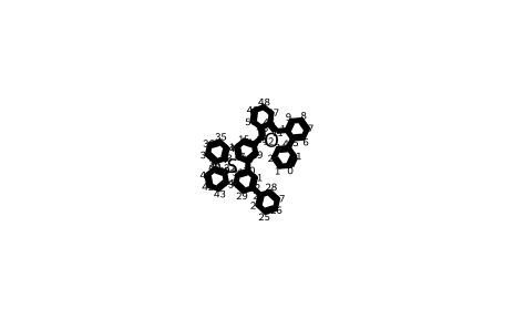 c1cccc(-c2ccccc2-c2oc(-c3ccc4c(c3)-c3cc(-c5ccccc5)ccc3S4(c3ccccc3)c3ccccc3)c3c2CCC=C3)c#1